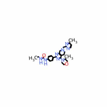 CCNC(=O)Nc1ccc(-c2nc3c(c(N4CCOCC4C)n2)CCN(Cc2nccc(C)n2)C3)cc1